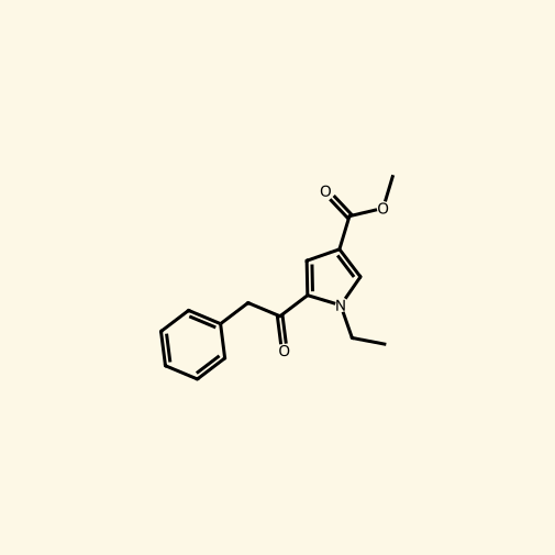 CCn1cc(C(=O)OC)cc1C(=O)Cc1ccccc1